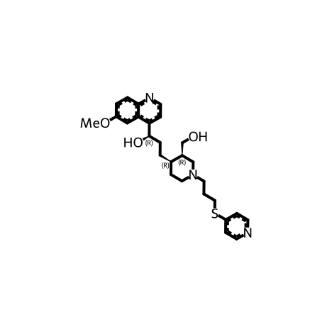 COc1ccc2nccc([C@H](O)CC[C@@H]3CCN(CCCSc4ccncc4)C[C@@H]3CO)c2c1